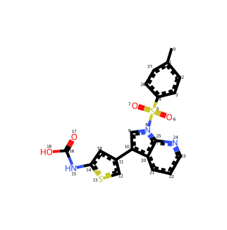 Cc1ccc(S(=O)(=O)n2cc(-c3csc(NC(=O)O)c3)c3cccnc32)cc1